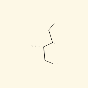 CCCCC[C@H](CCC)CCO